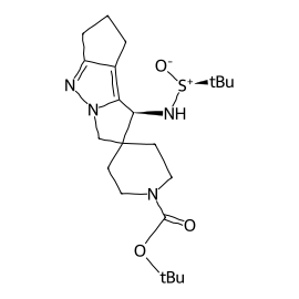 CC(C)(C)OC(=O)N1CCC2(CC1)Cn1nc3c(c1[C@H]2N[S@@+]([O-])C(C)(C)C)CCC3